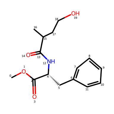 COC(=O)[C@@H](Cc1ccccc1)NC(=O)C(C)CCO